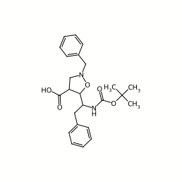 CC(C)(C)OC(=O)NC(Cc1ccccc1)C1ON(Cc2ccccc2)CC1C(=O)O